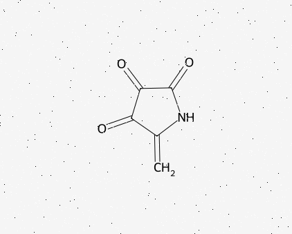 C=C1NC(=O)C(=O)C1=O